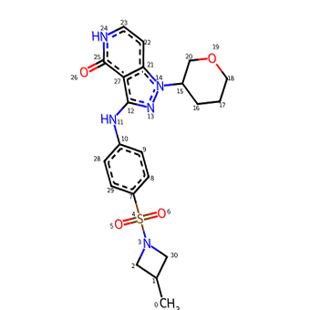 CC1CN(S(=O)(=O)c2ccc(Nc3nn(C4CCCOC4)c4cc[nH]c(=O)c34)cc2)C1